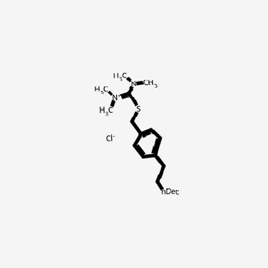 CCCCCCCCCCCCc1ccc(CSC(N(C)C)=[N+](C)C)cc1.[Cl-]